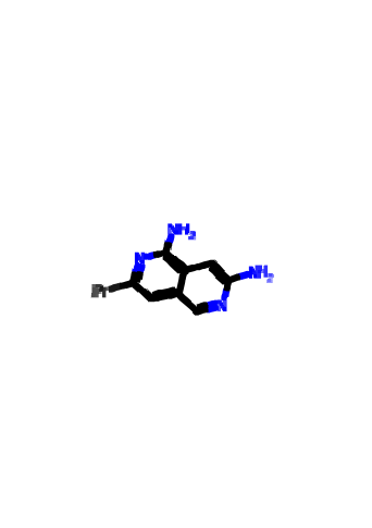 CC(C)c1cc2cnc(N)cc2c(N)n1